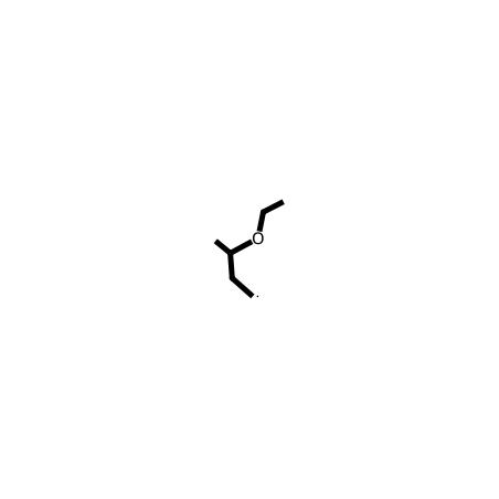 [CH2]CC(C)OCC